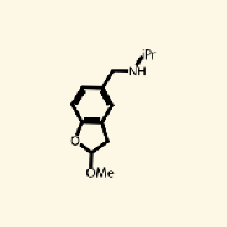 COC1Cc2cc(CNC(C)C)ccc2O1